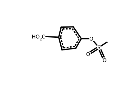 CS(=O)(=O)Oc1ccc(C(=O)O)cc1